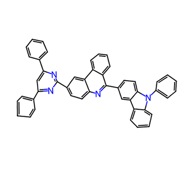 c1ccc(-c2cc(-c3ccccc3)nc(-c3ccc4nc(-c5ccc6c(c5)c5ccccc5n6-c5ccccc5)c5ccccc5c4c3)n2)cc1